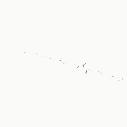 CCCCCCCCCCCCCCCCCCOC(=O)C(=O)OCCOCCOC